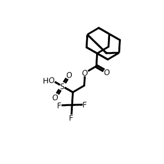 O=C(OCC(C(F)(F)F)S(=O)(=O)O)C12CC3CC(CC(C3)C1)C2